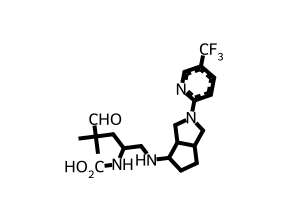 CC(C)(C=O)CC(CNC1CCC2CN(c3ccc(C(F)(F)F)cn3)CC21)NC(=O)O